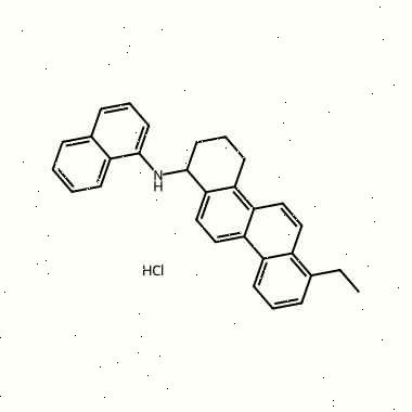 CCc1cccc2c1ccc1c3c(ccc12)C(Nc1cccc2ccccc12)CCC3.Cl